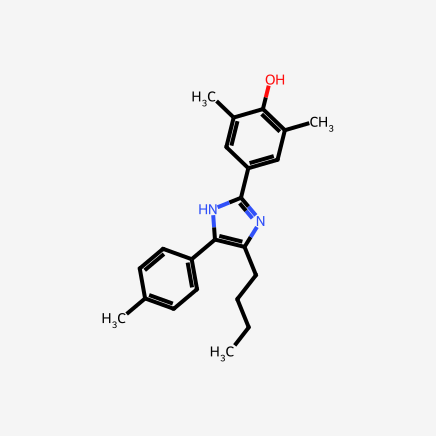 CCCCc1nc(-c2cc(C)c(O)c(C)c2)[nH]c1-c1ccc(C)cc1